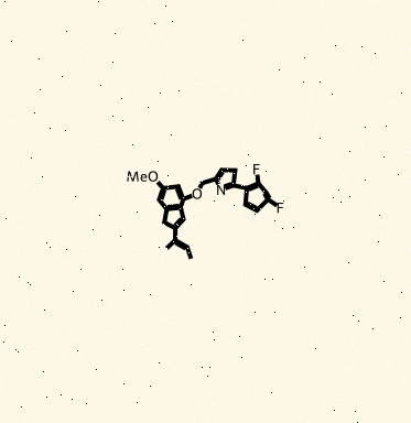 C/C=C(\C)C1=Cc2c(cc(OC)cc2OCC2=CCC(c3ccc(F)cc3F)=N2)C1